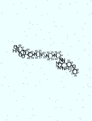 Nc1ncnc2c1c(-c1ccc(Oc3ccccc3)cc1)nn2C1CCCN(C2CCN(CCN3CCN(c4ccc5c(c4)CN(C4CCC(=O)NC4=O)C5=O)CC3)CC2)C1